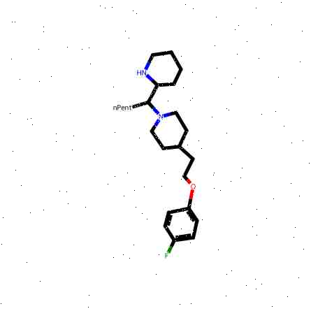 CCCCCC(C1CCCCN1)N1CCC(CCOc2ccc(F)cc2)CC1